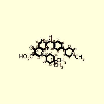 CN1CCC(c2ccc(Nc3ncc4c(=O)c(C(=O)O)cn(C5CCC(C)(C)CC5)c4n3)cc2)CC1